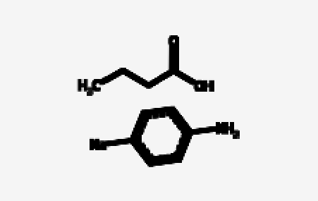 CCCC(=O)O.Nc1cc[c]([Na])cc1